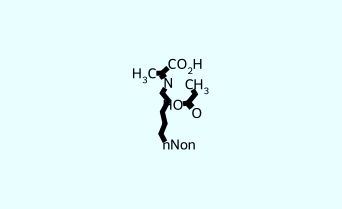 CCC(=O)O.CCCCCCCCCCCCCCN=C(C)C(=O)O